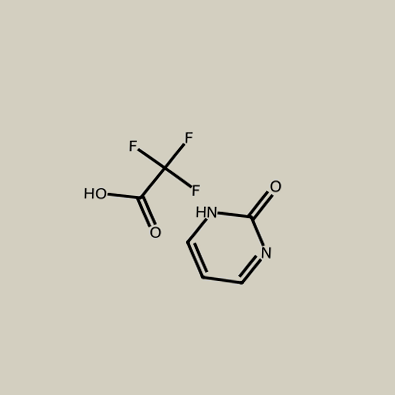 O=C(O)C(F)(F)F.O=c1nccc[nH]1